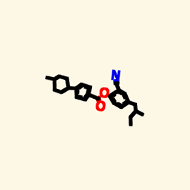 CCC(C)Cc1ccc(OC(=O)c2ccc(C3CCC(C)CC3)cc2)c(C#N)c1